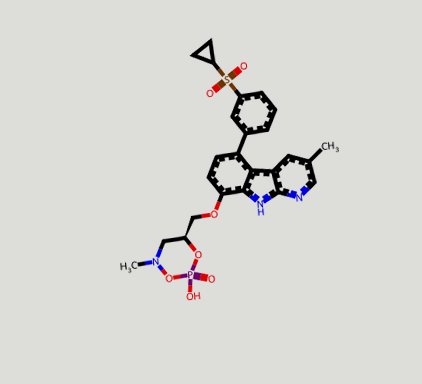 Cc1cnc2[nH]c3c(OC[C@@H]4CN(C)OP(=O)(O)O4)ccc(-c4cccc(S(=O)(=O)C5CC5)c4)c3c2c1